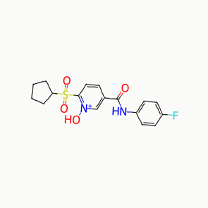 O=C(Nc1ccc(F)cc1)c1ccc(S(=O)(=O)C2CCCC2)[n+](O)c1